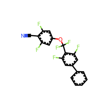 N#Cc1c(F)cc(OC(F)(F)c2c(F)cc(-c3ccccc3)cc2F)cc1F